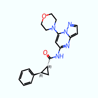 O=C(Nc1cc(N2CCOCC2)n2nccc2n1)[C@@H]1C[C@H]1c1ccccc1